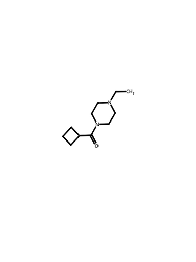 CCN1CCN(C(=O)C2CCC2)CC1